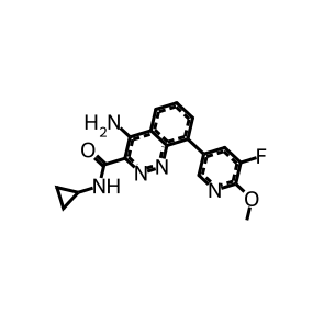 COc1ncc(-c2cccc3c(N)c(C(=O)NC4CC4)nnc23)cc1F